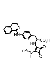 CCCNc1c(NC(Cc2ccc(Nc3nccc4ccccc34)cc2)C(=O)O)c(=O)c1=O